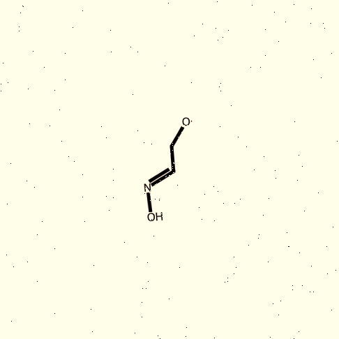 [O]CC=NO